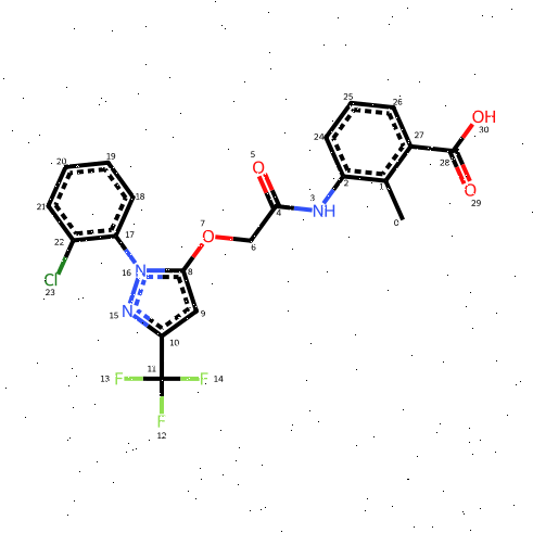 Cc1c(NC(=O)COc2cc(C(F)(F)F)nn2-c2ccccc2Cl)cccc1C(=O)O